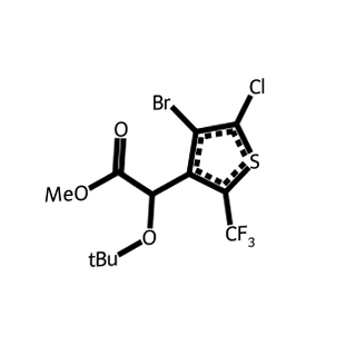 COC(=O)C(OC(C)(C)C)c1c(C(F)(F)F)sc(Cl)c1Br